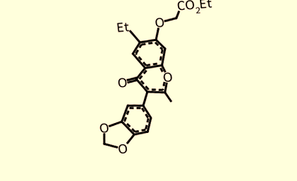 CCOC(=O)COc1cc2oc(C)c(-c3ccc4c(c3)OCO4)c(=O)c2cc1CC